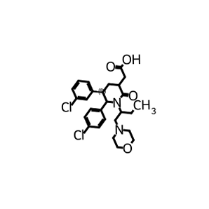 CCC(CN1CCOCC1)N1C(=O)C(CC(=O)O)C[C@H](c2cccc(Cl)c2)C1c1ccc(Cl)cc1